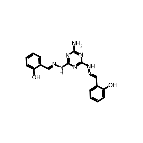 Nc1nc(NN=Cc2ccccc2O)nc(NN=Cc2ccccc2O)n1